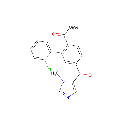 COC(=O)c1ccc(C(O)c2cncn2C)cc1-c1ccccc1Cl